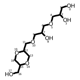 OCC(O)COCC(O)COCC1COC(CO)CO1